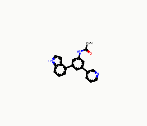 COC(=O)Nc1cc(-c2cccnc2)cc(-c2cccc3[nH]ccc23)c1